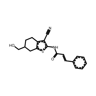 N#Cc1c(NC(=O)C=Cc2ccccc2)sc2c1CCC(CO)C2